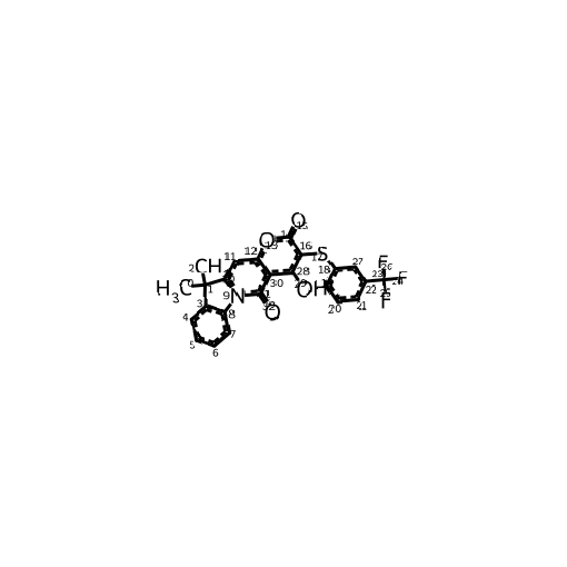 CC1(C)c2ccccc2-n2c1cc1oc(=O)c(Sc3cccc(C(F)(F)F)c3)c(O)c1c2=O